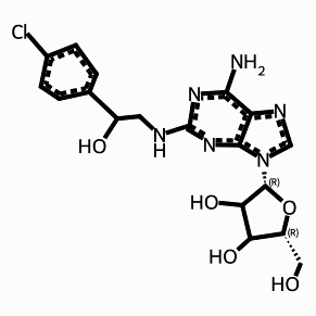 Nc1nc(NCC(O)c2ccc(Cl)cc2)nc2c1ncn2[C@@H]1O[C@H](CO)C(O)C1O